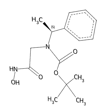 C[C@@H](c1ccccc1)N(CC(=O)NO)C(=O)OC(C)(C)C